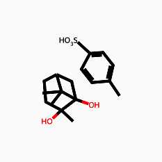 CC1(O)CCC2CC1(O)C2(C)C.Cc1ccc(S(=O)(=O)O)cc1